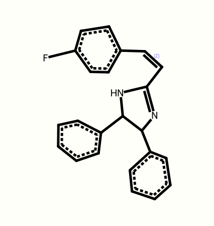 Fc1ccc(/C=C\C2=NC(c3ccccc3)C(c3ccccc3)N2)cc1